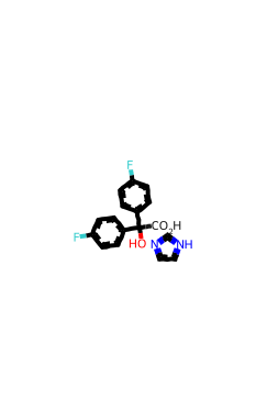 O=C(O)C(O)(c1ccc(F)cc1)c1ccc(F)cc1.c1c[nH]cn1